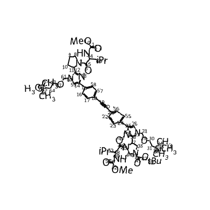 COC(=O)NC(C(=O)N1CCCC1c1nc(-c2ccc(C#Cc3ccc(-c4cn(COCC[Si](C)(C)C)c(C5CN(C(=O)OC(C)(C)C)CN5C(=O)C(NC(=O)OC)C(C)C)n4)cc3)cc2)cn1COCC[Si](C)(C)C)C(C)C